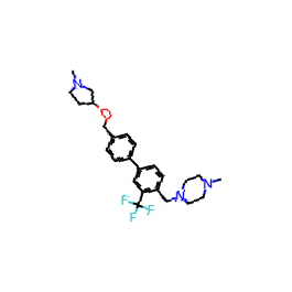 CN1CCN(Cc2ccc(-c3ccc(COC4CCN(C)C4)cc3)cc2C(F)(F)F)CC1